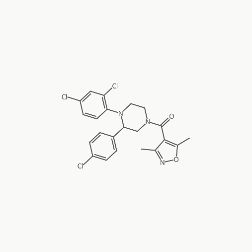 Cc1noc(C)c1C(=O)N1CCN(c2ccc(Cl)cc2Cl)C(c2ccc(Cl)cc2)C1